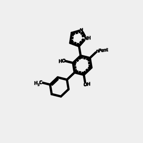 CCCCCc1cc(O)c(C2C=C(C)CCC2)c(O)c1-c1ccn[nH]1